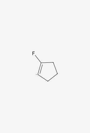 FC1=[C]CCC1